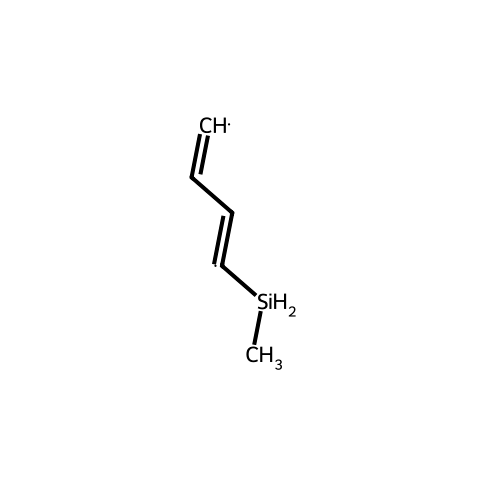 [CH]=C/C=[C]/[SiH2]C